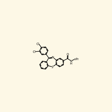 CCCNC(=O)c1ccc2c(c1)N=C(c1ccc(Cl)c(Cl)c1)c1ccccc1S2